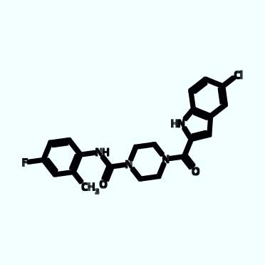 Cc1cc(F)ccc1NC(=O)N1CCN(C(=O)c2cc3cc(Cl)ccc3[nH]2)CC1